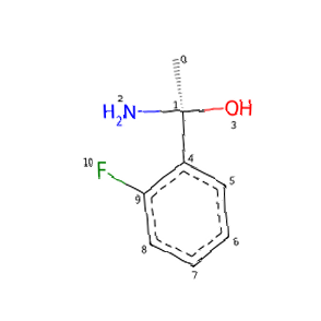 C[C@](N)(O)c1ccccc1F